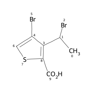 CC(Br)c1c(Br)csc1C(=O)O